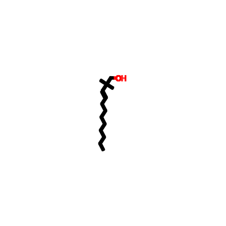 CCCCCCCCC=CC(C)(C)CO